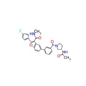 CNC(=O)c1c(-c2ccc(F)cc2)oc2ccc(-c3cccc(C(=O)N4CC[C@H](NC(C)=O)C4)c3)cc12